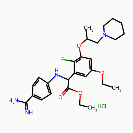 CCOC(=O)C(Nc1ccc(C(=N)N)cc1)c1cc(OCC)cc(OC(C)CN2CCCCC2)c1F.Cl